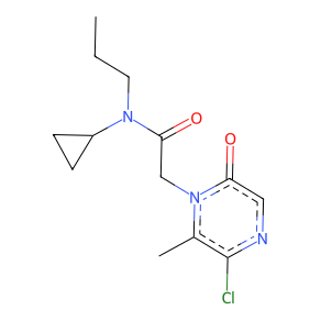 CCCN(C(=O)Cn1c(C)c(Cl)ncc1=O)C1CC1